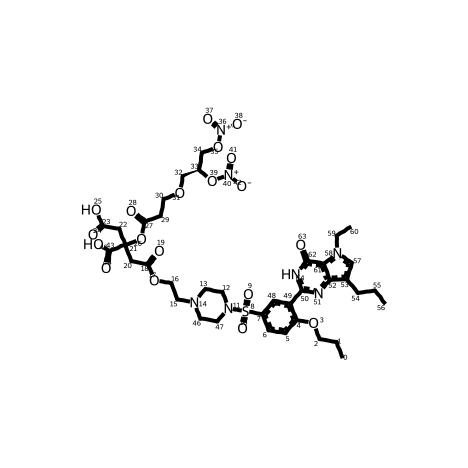 CCCOc1ccc(S(=O)(=O)N2CCN(CCOC(=O)CC(CC(=O)O)(OC(=O)CCOC[C@@H](CO[N+](=O)[O-])O[N+](=O)[O-])C(=O)O)CC2)cc1-c1nc2c(CCC)cn(CC)c2c(=O)[nH]1